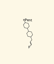 CCCCCC1CCC(C2CCC(C/C=C/F)CC2)CC1